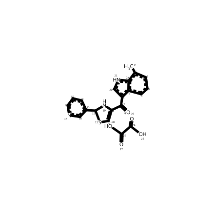 Cc1cccc2c(C(=O)C3=CSC(c4cccnc4)N3)c[nH]c12.O=C(O)C(=O)O